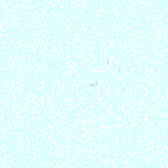 CCCCCCc1cccc(C(Br)(Br)C(Br)(Br)Br)c1C(O)(c1ccccc1)c1ccccc1